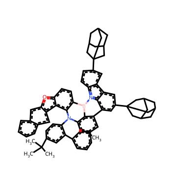 Cc1cc2c3c(c1)N(c1ccc(C(C)(C)C)cc1-c1ccccc1)c1c(ccc4oc5cc6ccccc6cc5c14)B3n1c3ccc(C45CC6CC(CC(C6)C4)C5)cc3c3cc(C45CC6CC(CC(C6)C4)C5)cc-2c31